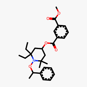 CCC1(CC)CC(OC(=O)c2cccc(C(=O)OC)c2)CC(C)(C)N1OC(C)c1ccccc1